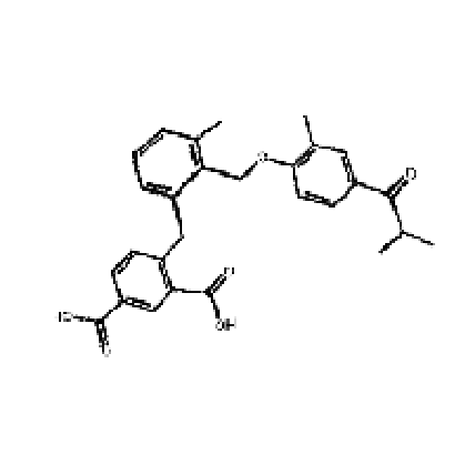 Cc1cc(C(=O)C(C)C)ccc1OCc1c(C)cccc1Cc1ccc(C(=O)O)cc1C(=O)O